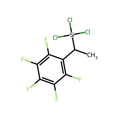 CC(c1c(F)c(F)c(F)c(F)c1F)[Si](Cl)(Cl)Cl